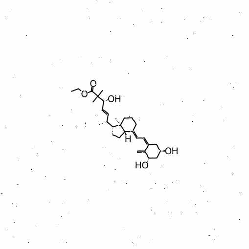 C=C1/C(=C\C=C2/CCC[C@]3(C)[C@@H]([C@H](C)/C=C/[C@@H](O)C(C)(C)C(=O)OCC)CC[C@@H]23)C[C@@H](O)C[C@@H]1O